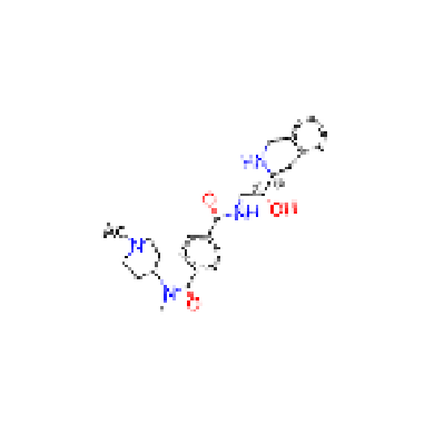 CC(=O)N1CCC(N(C)C(=O)c2ccc(C(=O)NC[C@@H](O)[C@@H]3Cc4ccccc4CN3)cc2)CC1